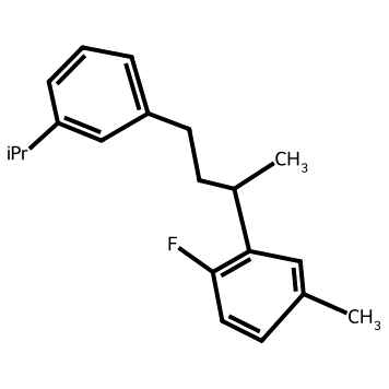 Cc1ccc(F)c(C(C)CCc2cccc(C(C)C)c2)c1